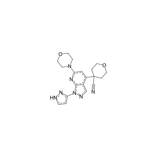 N#CC1(c2cc(N3CCOCC3)nc3c2cnn3-c2cc[nH]n2)CCOCC1